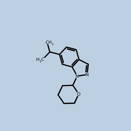 CC(C)c1ccc2cnn(C3CCCCO3)c2c1